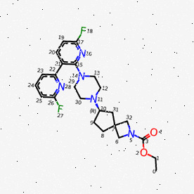 CCOC(=O)N1CC2(CC[C@@H](N3CCN(c4nc(F)ccc4-c4cccc(F)n4)CC3)C2)C1